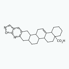 O=C(O)C12CCCCC1C1=CCC3C4Cc5cc6cnoc6nc5CC4CCC3C1CC2